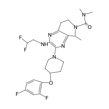 CC1c2nc(N3CCC(Oc4ccc(F)cc4F)CC3)c(NCC(F)F)nc2CCN1C(=O)N(C)C